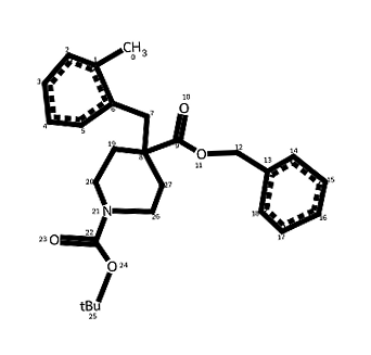 Cc1ccccc1CC1(C(=O)OCc2ccccc2)CCN(C(=O)OC(C)(C)C)CC1